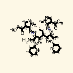 CCC(c1nn(-c2ccccn2)c(C)c1/N=N/c1c(C(=O)OC)cnn1C)c1nn(-c2ccccn2)c(N)c1/N=N/c1c(C(=O)CO)cnn1C